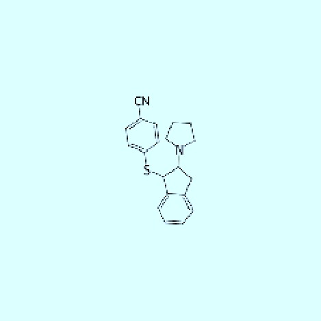 N#Cc1ccc(SC2c3ccccc3CC2N2CCCC2)cc1